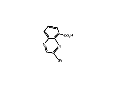 CC(C)c1cnc2cccc(C(=O)O)c2n1